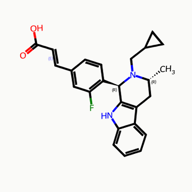 C[C@@H]1Cc2c([nH]c3ccccc23)[C@@H](c2ccc(/C=C/C(=O)O)cc2F)N1CC1CC1